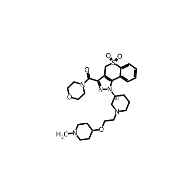 CN1CCC(OCCN2CCC[C@H](n3nc(C(=O)N4CCOCC4)c4c3-c3ccccc3S(=O)(=O)C4)C2)CC1